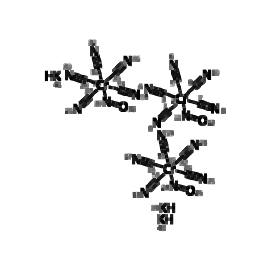 N#[C][Cr]([C]#N)([C]#N)([C]#N)([C]#N)[N]=O.N#[C][Cr]([C]#N)([C]#N)([C]#N)([C]#N)[N]=O.N#[C][Cr]([C]#N)([C]#N)([C]#N)([C]#N)[N]=O.[KH].[KH].[KH]